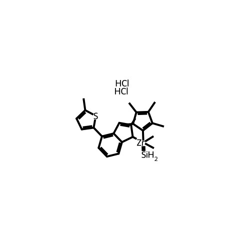 CC1=Cc2c(-c3ccc(C)s3)cccc2[CH]1[Zr]([CH3])([CH3])(=[SiH2])[C]1=C(C)C(C)=C(C)C1C.Cl.Cl